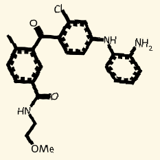 COCCNC(=O)c1ccc(C)c(C(=O)c2ccc(Nc3ccccc3N)cc2Cl)c1